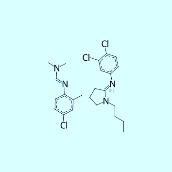 CCCCN1CCC/C1=N\c1ccc(Cl)c(Cl)c1.Cc1cc(Cl)ccc1N=CN(C)C